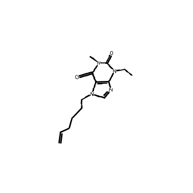 C=CCCCCn1cnc2c1c(=O)n(C)c(=O)n2CC